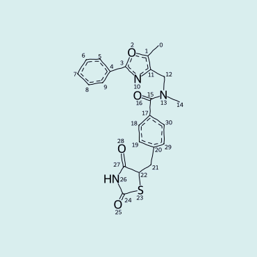 Cc1oc(-c2ccccc2)nc1CN(C)C(=O)c1ccc(CC2SC(=O)NC2=O)cc1